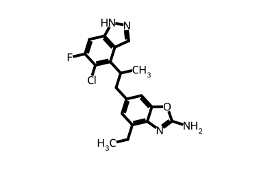 CCc1cc(CC(C)c2c(Cl)c(F)cc3[nH]ncc23)cc2oc(N)nc12